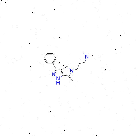 C=C1c2[nH]nc(-c3ccccc3)c2CN1CCCN(C)C